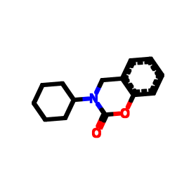 O=C1Oc2ccccc2CN1C1CCCCC1